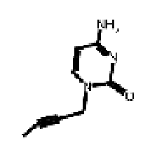 CC#CCn1ccc(N)nc1=O